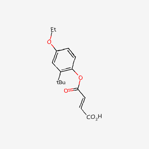 CCOc1ccc(OC(=O)C=CC(=O)O)c(C(C)(C)C)c1